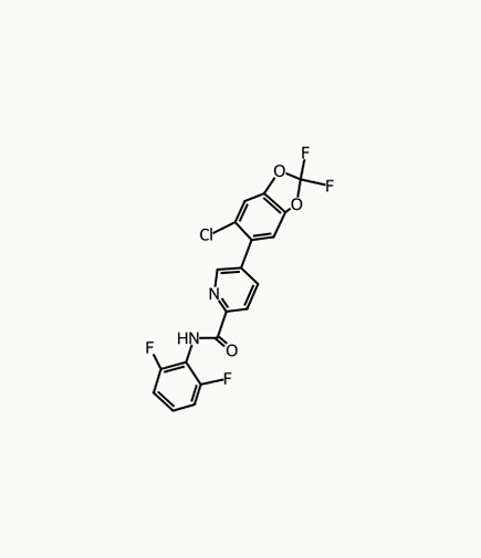 O=C(Nc1c(F)cccc1F)c1ccc(-c2cc3c(cc2Cl)OC(F)(F)O3)cn1